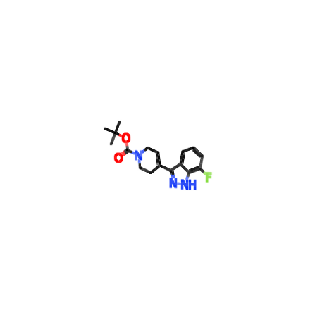 CC(C)(C)OC(=O)N1CC=C(c2n[nH]c3c(F)cccc23)CC1